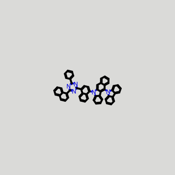 c1ccc(-c2nc(-c3cccc4ccccc34)nc(-c3ccc(-n4c5ccccc5c5c(-n6c7ccccc7c7ccccc76)c6ccccc6cc54)c4ccccc34)n2)cc1